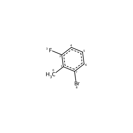 Cc1c(F)cccc1Br